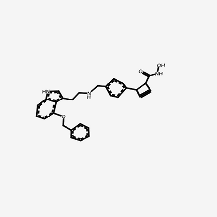 O=C(NO)C1C#CC1c1ccc(CNCCc2c[nH]c3cccc(OCc4ccccc4)c23)cc1